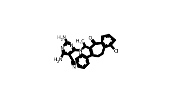 CC(Nc1nc(N)nc(N)c1C#N)C1=C(c2ccccc2)CCc2c(Cl)cccc2C1=O